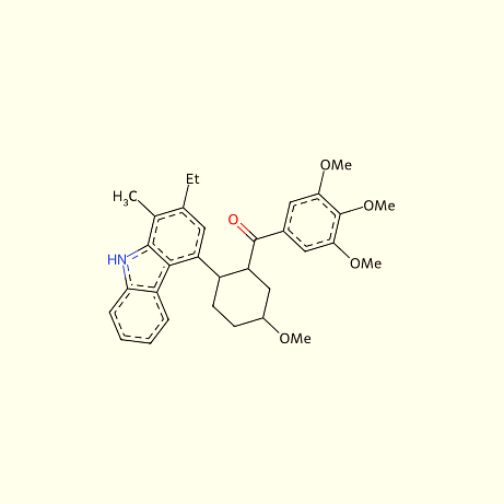 CCc1cc(C2CCC(OC)CC2C(=O)c2cc(OC)c(OC)c(OC)c2)c2c([nH]c3ccccc32)c1C